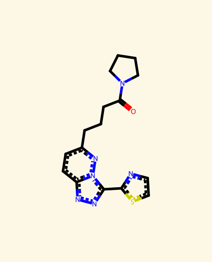 O=C(CCCc1ccc2nnc(-c3nccs3)n2n1)N1CCCC1